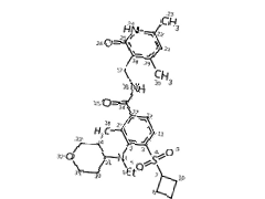 CCN(c1c(S(=O)(=O)C2CCC2)ccc(C(=O)NCc2c(C)cc(C)[nH]c2=O)c1C)C1CCOCC1